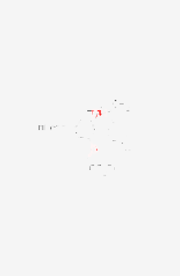 C=C(C)C1CCC(C)=CC1c1c(O)cc(CCCCC)cc1OCC(=O)OCC